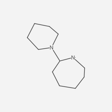 C1CC[N]C(N2CCCCC2)CC1